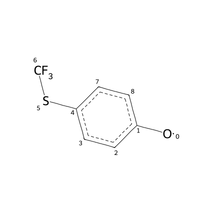 [O]c1ccc(SC(F)(F)F)cc1